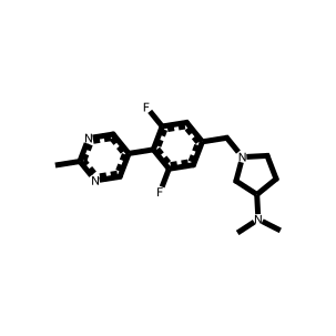 Cc1ncc(-c2c(F)cc(CN3CCC(N(C)C)C3)cc2F)cn1